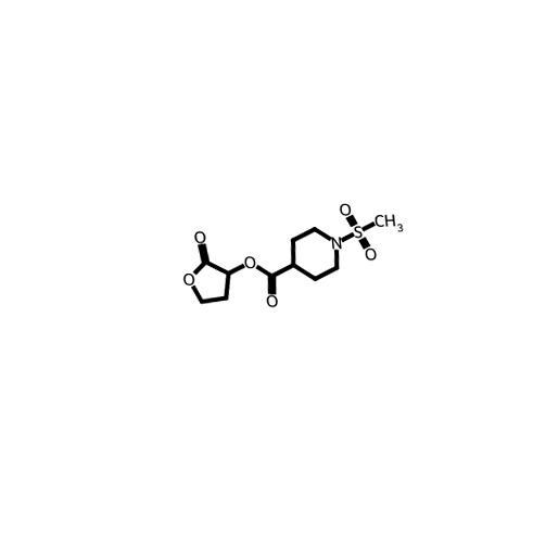 CS(=O)(=O)N1CCC(C(=O)OC2CCOC2=O)CC1